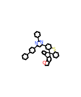 c1ccc(-c2ccc(-c3cc(-c4ccc5c(c4)C4(c6ccccc6S5)c5ccccc5-c5c4ccc4ccoc54)nc(-c4ccccc4)n3)cc2)cc1